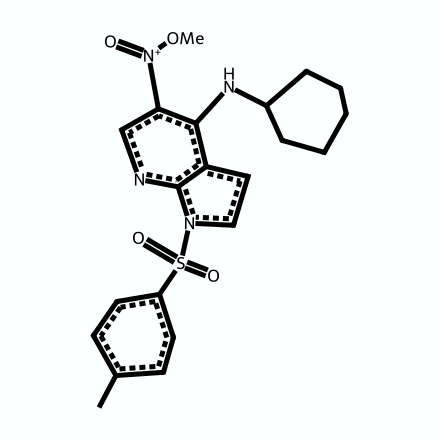 CO[N+](=O)c1cnc2c(ccn2S(=O)(=O)c2ccc(C)cc2)c1NC1CCCCC1